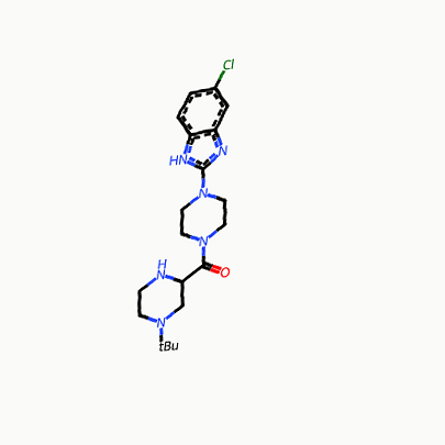 CC(C)(C)N1CCNC(C(=O)N2CCN(c3nc4cc(Cl)ccc4[nH]3)CC2)C1